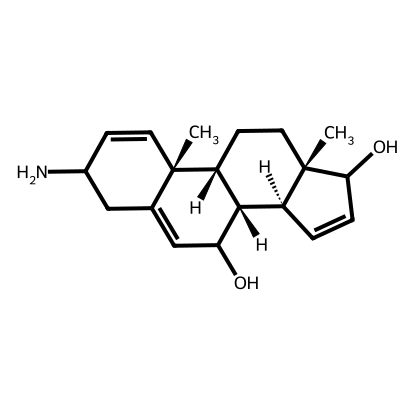 C[C@]12C=CC(N)CC1=CC(O)[C@@H]1[C@H]2CC[C@]2(C)C(O)C=C[C@@H]12